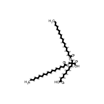 CCCCCCCCCCCCCCCCCC(=O)OCC(CCCCCCCCC(=O)O)(COC(=O)CCCCCCCCCCCCCCCCC)C(=O)O